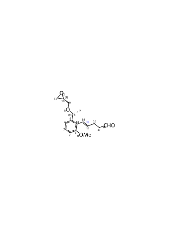 COc1cccc([C@@H](C)OC[C@H]2CO2)c1/C=C/CCC=O